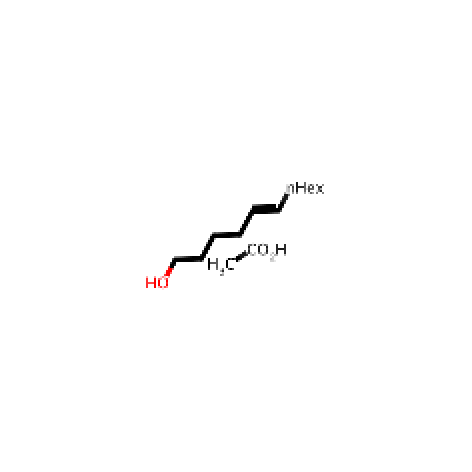 CC(=O)O.CCCCCCC=CCCCCO